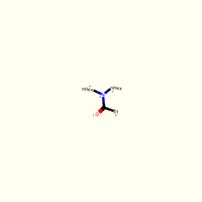 [CH2]CC(=O)N(CCCCCC)CCCCCC